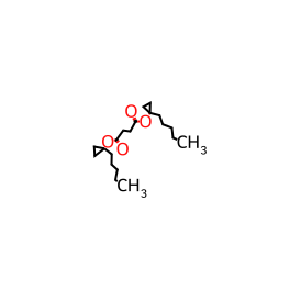 CCCCCC1(OC(=O)CCC(=O)OC2(CCCCC)CC2)CC1